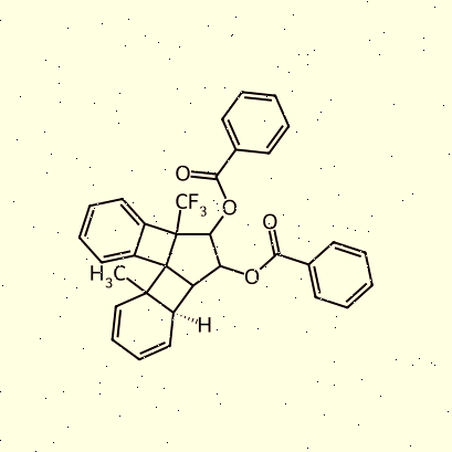 CC12C=CC=C[C@@H]1C1C(OC(=O)c3ccccc3)C(OC(=O)c3ccccc3)C3(C(F)(F)F)c4ccccc4C123